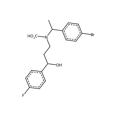 CC(c1ccc(Br)cc1)N(CCC(O)c1ccc(F)cc1)C(=O)O